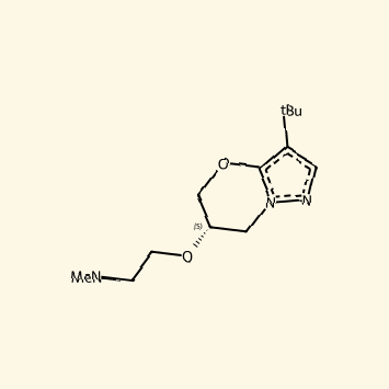 CNCCO[C@@H]1COc2c(C(C)(C)C)cnn2C1